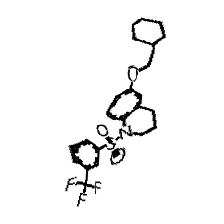 O=S(=O)(c1cccc(C(F)(F)F)c1)N1CCCc2cc(OCC3CCCCC3)ccc21